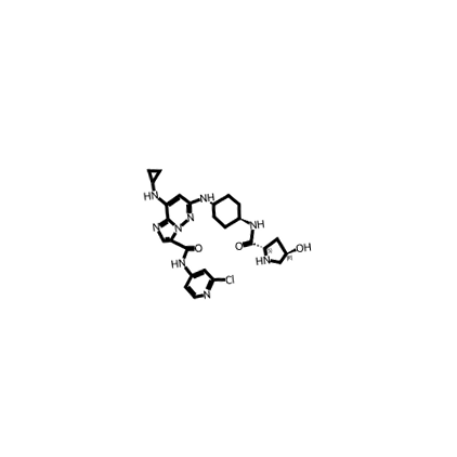 O=C(Nc1ccnc(Cl)c1)c1cnc2c(NC3CC3)cc(N[C@H]3CC[C@H](NC(=O)[C@@H]4C[C@@H](O)CN4)CC3)nn12